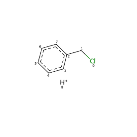 ClCc1ccccc1.[H+]